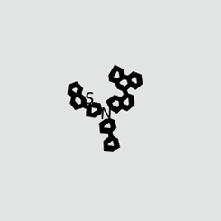 c1ccc(-c2ccc(N(c3ccc4c(-c5cc6ccccc6c6ccccc56)cccc4c3)c3ccc4c(c3)sc3c5ccccc5ccc43)cc2)cc1